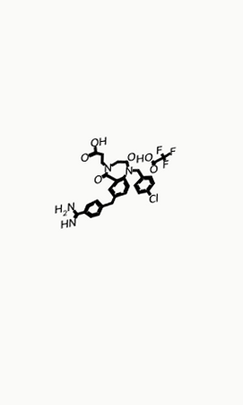 N=C(N)c1ccc(Cc2ccc3c(c2)C(=O)N(CCC(=O)O)CC(=O)N3Cc2ccc(Cl)cc2)cc1.O=C(O)C(F)(F)F